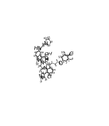 Cc1cc(OCCCc2c3n(c4c(-c5c(C)nn(C)c5C)c(Cl)ccc24)[C@H](C)CN(c2c(C(=O)O)c4cc(NCCN5CCCC5)ccc4n2C)C3=O)cc(C)c1Cl